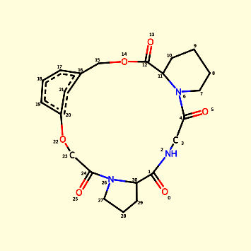 O=C1NCC(=O)N2CCCCC2C(=O)OCc2cccc(c2)OCC(=O)N2CCCC12